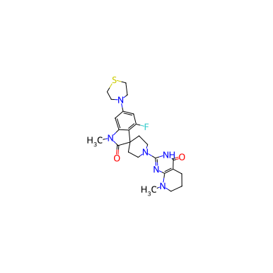 CN1CCCc2c1nc(N1CCC3(CC1)C(=O)N(C)c1cc(N4CCSCC4)cc(F)c13)[nH]c2=O